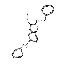 COc1cc2cc(OCc3ccccc3)ccc2cc1OCc1ccccc1